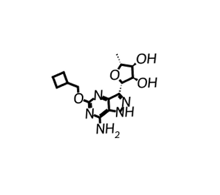 C[C@H]1O[C@@H](c2n[nH]c3c(N)nc(OCC4CCC4)nc23)[C@H](O)[C@@H]1O